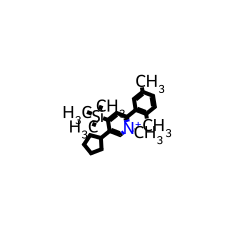 Cc1ccc(C)c(-c2cc([Si](C)(C)C)c(C3CCCC3)c[n+]2C)c1